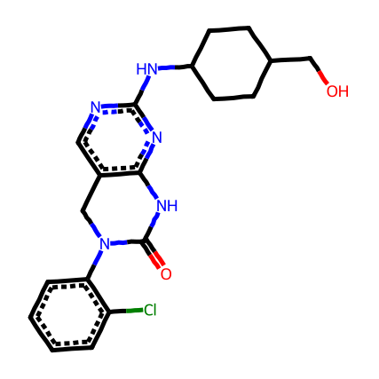 O=C1Nc2nc(NC3CCC(CO)CC3)ncc2CN1c1ccccc1Cl